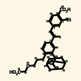 CCc1cc(C=C(C)c2ccc(CCCOCC(=O)O)c(C34CC5CC(CC(C5)C3)C4)c2)ccc1C(=O)O